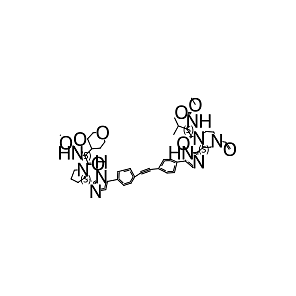 COC(=O)N[C@H](C(=O)N1CCN(C=O)C[C@H]1c1ncc(-c2ccc(C#Cc3ccc(-c4cnc([C@@H]5CCCN5C(=O)[C@@H](NC(=O)OC)C5CCOCC5)[nH]4)cc3)cc2)[nH]1)C(C)C